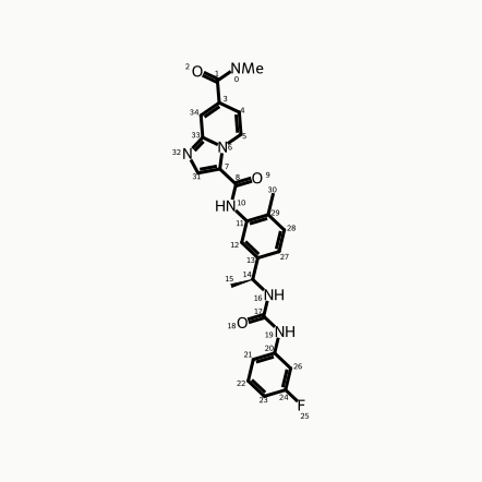 CNC(=O)c1ccn2c(C(=O)Nc3cc([C@H](C)NC(=O)Nc4cccc(F)c4)ccc3C)cnc2c1